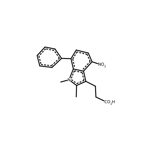 Cc1c(CCC(=O)O)c2c([N+](=O)[O-])ccc(-c3ccccc3)c2n1C